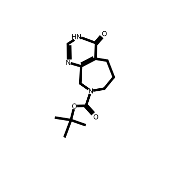 CC(C)(C)OC(=O)N1CCCc2c(nc[nH]c2=O)C1